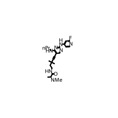 CCCNc1nc(Nc2ccnc(F)c2)ncc1C#CC(C)(C)CCNC(=O)[C@H](C)NC